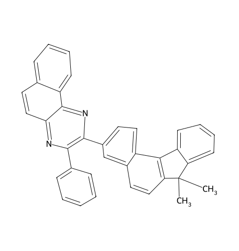 CC1(C)c2ccccc2-c2c1ccc1cc(-c3nc4c(ccc5ccccc54)nc3-c3ccccc3)ccc21